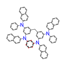 c1ccc(N(c2cc(Cc3cc(N(c4ccccc4)c4ccc5ccccc5c4)cc(N(c4ccccc4)c4ccc5ccccc5c4)c3)cc(N(c3ccccc3)c3ccc4ccccc4c3)c2)c2ccc3ccccc3c2)cc1